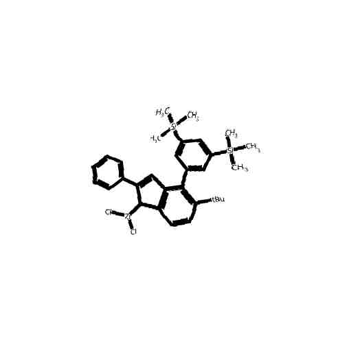 CC(C)(C)c1ccc2c(c1-c1cc([Si](C)(C)C)cc([Si](C)(C)C)c1)C=C(c1ccccc1)[CH]2[Zr]([Cl])[Cl]